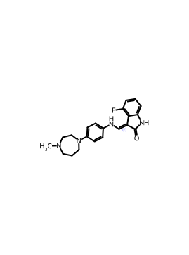 CN1CCCN(c2ccc(N/C=C3/C(=O)Nc4cccc(F)c43)cc2)CC1